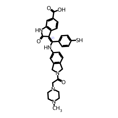 CN1CCN(CC(=O)N2Cc3ccc(N/C(=C4\C(=O)Nc5cc(C(=O)O)ccc54)c4ccc(S)cc4)cc3C2)CC1